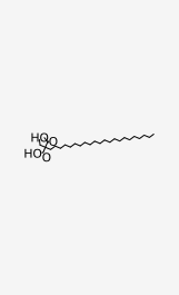 CCCCCCCCCCCCCCCCCCCCCCC(CC)(C(=O)O)C(=O)O